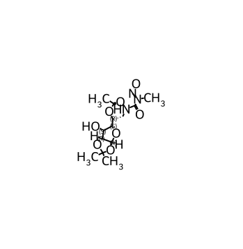 CC(=O)O[C@H](CNC(=O)N(C)N=O)[C@H]1O[C@@H]2OC(C)(C)O[C@@H]2[C@H]1O